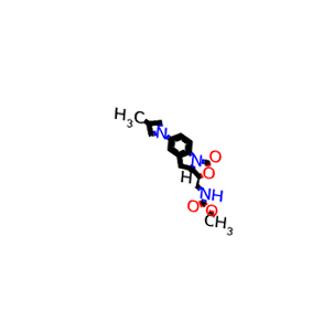 COC(=O)NC[C@@H]1OC(=O)N2c3ccc(N4CC(C)C4)cc3C[C@@H]12